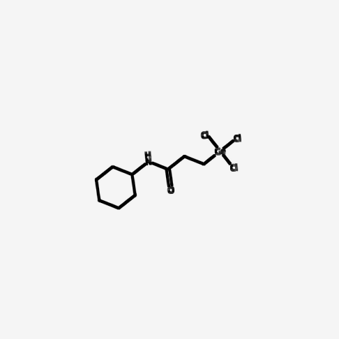 O=C(C[CH2][Ge]([Cl])([Cl])[Cl])NC1CCCCC1